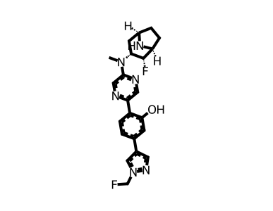 CN(c1cnc(-c2ccc(-c3cnn(CF)c3)cc2O)cn1)[C@@H]1C[C@H]2CC[C@H](N2)[C@@H]1F